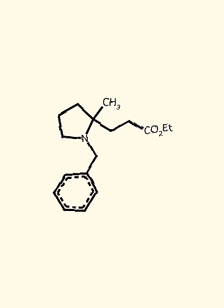 CCOC(=O)CCC1(C)CCCN1Cc1ccccc1